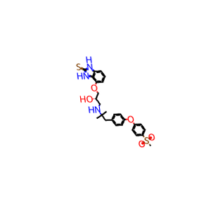 CC(C)(Cc1ccc(Oc2ccc(S(C)(=O)=O)cc2)cc1)NC[C@H](O)COc1cccc2[nH]c(=S)[nH]c12